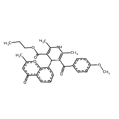 CCCOC(=O)C1=C(C)NC(C)=C(C(=O)c2ccc(OC)cc2)C1c1cccc2c(=O)cc(C)oc12